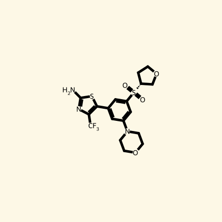 Nc1nc(C(F)(F)F)c(-c2cc(N3CCOCC3)cc(S(=O)(=O)[C@@H]3CCOC3)c2)s1